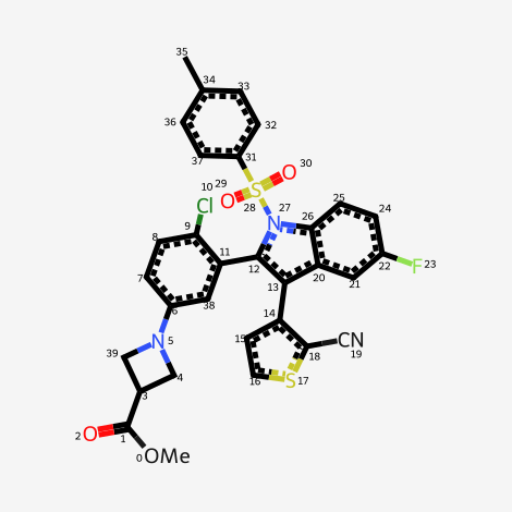 COC(=O)C1CN(c2ccc(Cl)c(-c3c(-c4ccsc4C#N)c4cc(F)ccc4n3S(=O)(=O)c3ccc(C)cc3)c2)C1